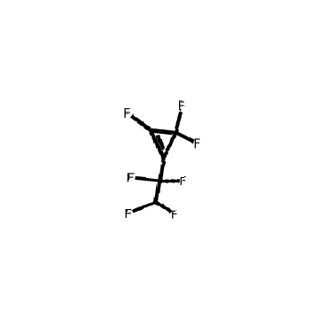 FC1=C(C(F)(F)C(F)F)C1(F)F